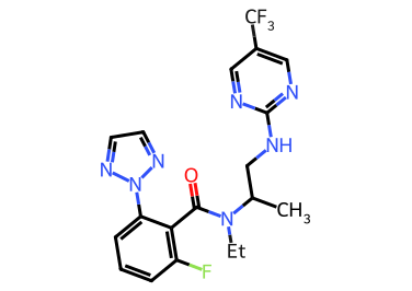 CCN(C(=O)c1c(F)cccc1-n1nccn1)C(C)CNc1ncc(C(F)(F)F)cn1